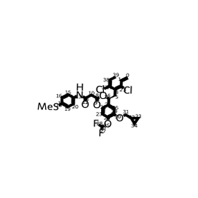 C=C/C(Cl)=C(C[C@H](OC(=O)CC(=O)Nc1ccc(SC)cc1)c1ccc(OC(F)F)c(OCC2CC2)c1)\C(Cl)=C/C